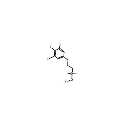 CCO[Si](C)(C)CCCc1cc(F)c(F)c(F)c1